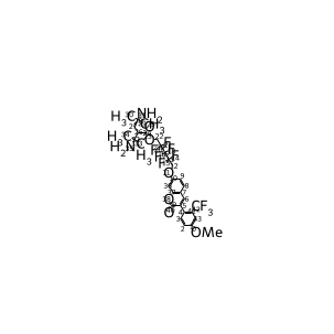 COc1ccc(-c2cc3ccc(OCC(F)(F)C(F)(F)C(F)(F)COC(=O)C(CC(C)(C)N)C(C)(C)N)cc3oc2=O)c(C(F)(F)F)c1